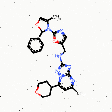 CC1=COC(c2ccccc2)N1c1ncc(CNc2nc3nc(C)cc(C4CCOCC4)n3n2)o1